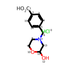 Cl.O=C(O)c1ccc(CN2CCOC(O)C2)cc1